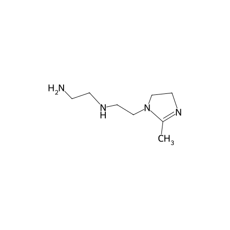 CC1=NCCN1CCNCCN